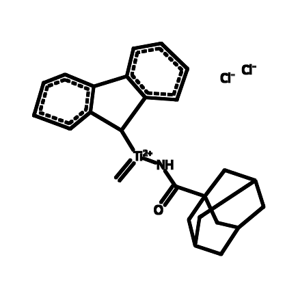 [CH2]=[Ti+2]([NH]C(=O)C12CC3CC(CC(C3)C1)C2)[CH]1c2ccccc2-c2ccccc21.[Cl-].[Cl-]